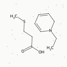 CCN1C=CC=CC1.CSCCC(=O)O